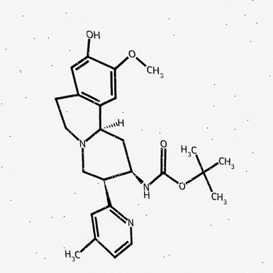 COc1cc2c(cc1O)CCN1C[C@H](c3cc(C)ccn3)[C@H](NC(=O)OC(C)(C)C)C[C@H]21